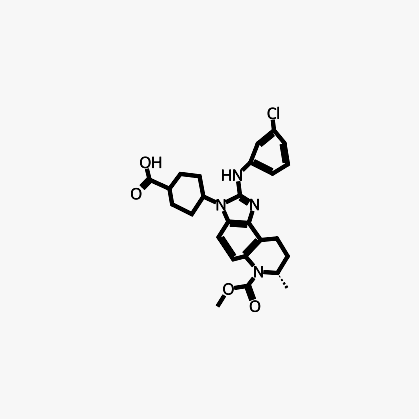 COC(=O)N1c2ccc3c(nc(Nc4cccc(Cl)c4)n3C3CCC(C(=O)O)CC3)c2CC[C@@H]1C